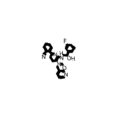 N#Cc1ccccc1-c1ccc(N(C=O)Cc2cccnc2)c(NCC(O)c2cccc(F)c2)n1